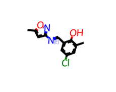 Cc1cc(/N=C/c2cc(Cl)cc(C)c2O)no1